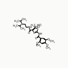 COc1cc(OC)c(C(=O)Nc2nc(C(=O)NCCN(C(C)C)C(C)C)c(C)s2)cc1OC.Cl.Cl